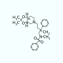 CN(C[C@@](C)(CCN1CC[C@H]2OC(C)(C)O[C@H]2C1)c1ccccc1)S(=O)(=O)c1ccccc1